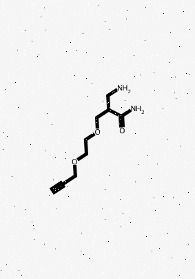 C#CCOCCOCC(CN)C(N)=O